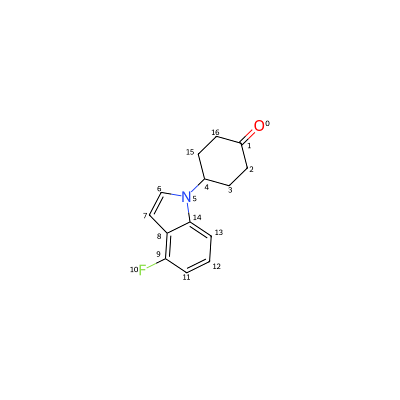 O=C1CCC(n2ccc3c(F)cccc32)CC1